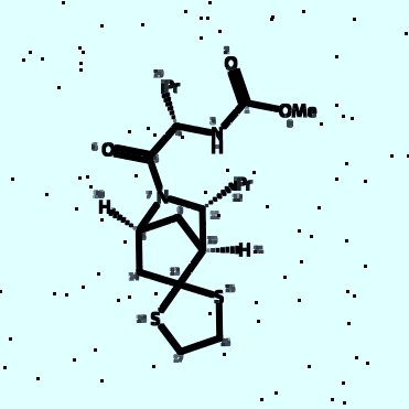 COC(=O)N[C@H](C(=O)N1[C@H]2C[C@@H]([C@H]1C(C)C)C1(C2)SCCS1)C(C)C